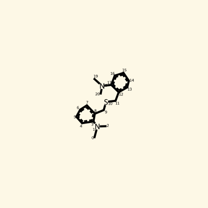 CN(C)c1ccccc1CSCc1ccccc1N(C)C